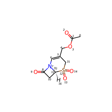 CC(=O)OCC1=CN2C(=O)C[C@@H]2S(=O)(=O)C1